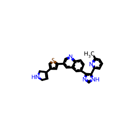 Cc1cccc(-c2[nH]cnc2-c2ccc3ncc(-c4cc(C5=CCNC5)cs4)cc3c2)n1